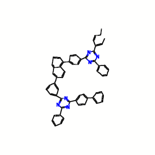 C/C=C(\C=C/CC)c1nc(-c2ccccc2)nc(-c2ccc(-c3cccc4cc(-c5cccc(-c6nc(-c7ccccc7)nc(-c7ccc(-c8ccccc8)cc7)n6)c5)ccc34)cc2)n1